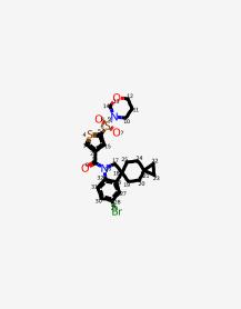 O=C(c1csc(S(=O)(=O)N2CCCOC2)c1)N1CC2(CCC3(CC3)CC2)c2cc(Br)ccc21